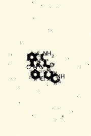 Cc1cccc2c(=O)n(-c3cccc(Cl)c3)c(SC(CCCN)C(=O)N3CCCC4(CCCNC4)C3)nc12